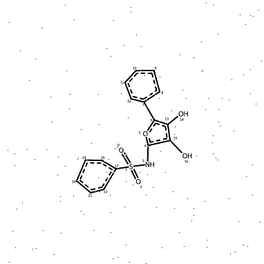 O=S(=O)(Nc1oc(-c2ccccc2)c(O)c1O)c1ccccc1